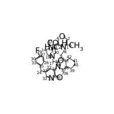 C[C@@H]1COC[C@@H](C)N1CC[C@H]1CN(C(=O)O)CCN1CC(=O)N1c2cc(Cc3ccc(F)cc3)cnc2OC[C@@H]1C1CCCCC1